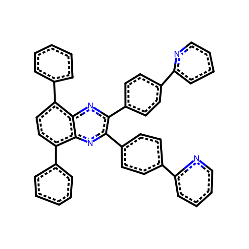 c1ccc(-c2ccc(-c3ccccc3)c3nc(-c4ccc(-c5ccccn5)cc4)c(-c4ccc(-c5ccccn5)cc4)nc23)cc1